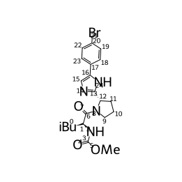 CC[C@H](C)[C@H](NC(=O)OC)C(=O)N1CCC[C@H]1c1ncc(-c2ccc(Br)cc2)[nH]1